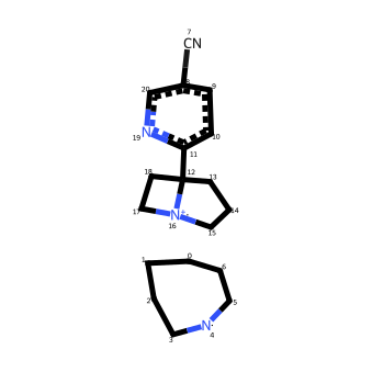 C1CCC[N]CC1.N#Cc1ccc(C23CCC[N+]2CC3)nc1